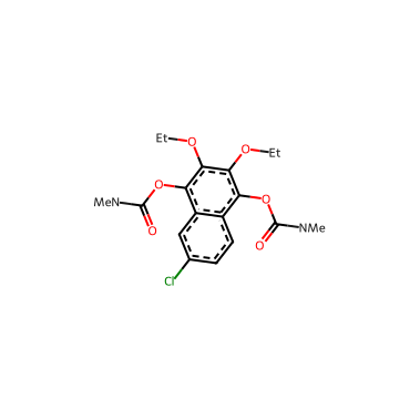 CCOc1c(OCC)c(OC(=O)NC)c2cc(Cl)ccc2c1OC(=O)NC